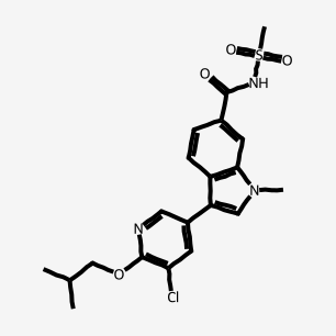 CC(C)COc1ncc(-c2cn(C)c3cc(C(=O)NS(C)(=O)=O)ccc23)cc1Cl